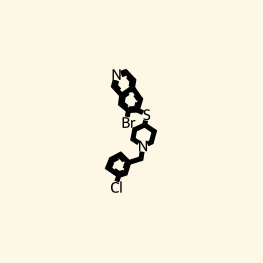 Clc1cccc(CN2CCC(Sc3cc4ccncc4cc3Br)CC2)c1